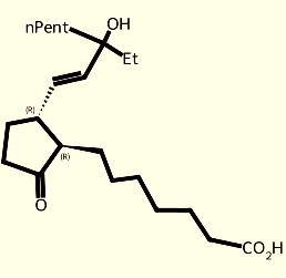 CCCCCC(O)(C=C[C@H]1CCC(=O)[C@@H]1CCCCCCC(=O)O)CC